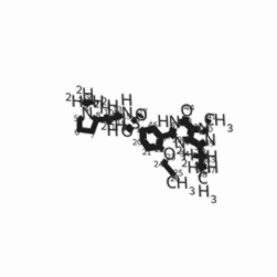 [2H]C([2H])([2H])N1CCCC1C([2H])([2H])C([2H])([2H])NS(=O)(=O)c1ccc(OCCC)c(-c2nc3c(C([2H])([2H])C([2H])([2H])C)nn(C)c3c(=O)[nH]2)c1